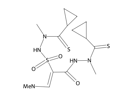 CNC=C(C(=O)NN(C)C(=S)C1CC1)S(=O)(=O)NN(C)C(=S)C1CC1